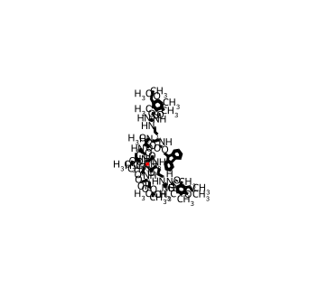 Cc1c(C)c(S(=O)(=O)NC(=N)NCCC[C@H](NC(=O)OCC2c3ccccc3-c3ccccc32)C(=O)N[C@@H](C)C(=O)N[C@@H](CC(=O)OC(C)(C)C)C(=O)N[C@@H](C)C(=O)N[C@@H](CCCNC(=N)NS(=O)(=O)c2c(C)c(C)c3c(c2C)CC(C)(C)O3)C(=O)N[C@@H](C)C(=O)N[C@@H](CC(=O)OC(C)(C)C)C(=O)O)c(C)c2c1OC(C)(C)C2